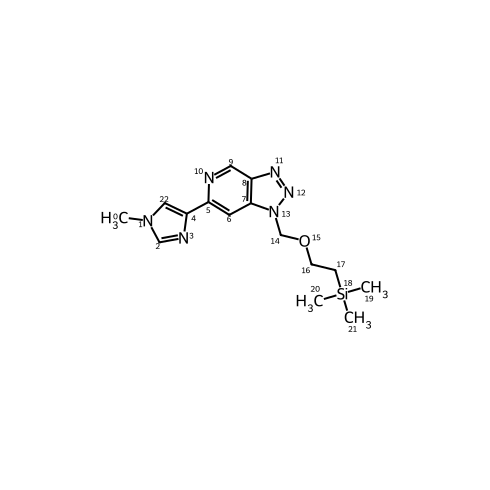 Cn1cnc(-c2cc3c(cn2)nnn3COCC[Si](C)(C)C)c1